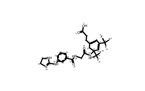 O=C(O)CCC1=CC(C(F)(F)F)=CC(NC(=O)CNC(=O)c2cccc(NC3=NCCN3)c2)(C(F)(F)F)C1